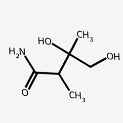 CC(C(N)=O)C(C)(O)CO